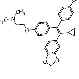 CN(C)CCOc1ccc(C(=C(c2ccc3c(c2)OCO3)C2CC2)c2ccc(O)cc2)cc1